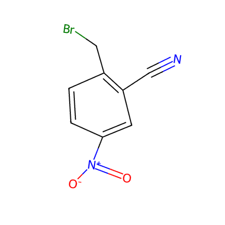 N#Cc1cc([N+](=O)[O-])ccc1CBr